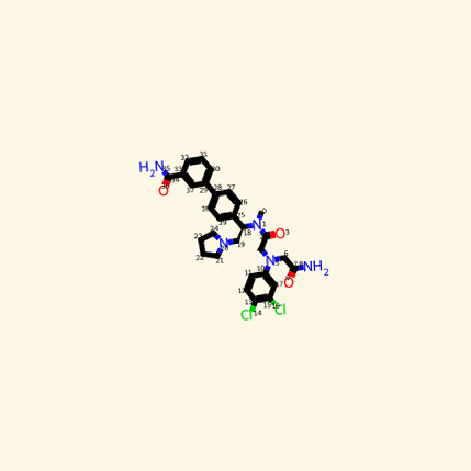 CN(C(=O)CN(CC(N)=O)c1ccc(Cl)c(Cl)c1)[C@@H](CN1CCCC1)c1ccc(-c2cccc(C(N)=O)c2)cc1